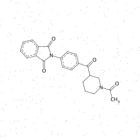 CC(=O)N1CCCC(C(=O)c2ccc(N3C(=O)c4ccccc4C3=O)cc2)C1